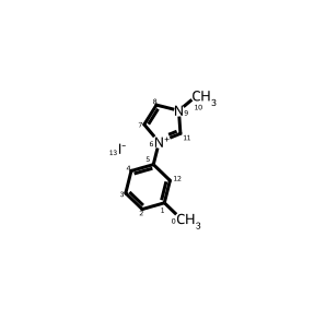 Cc1cccc(-[n+]2ccn(C)c2)c1.[I-]